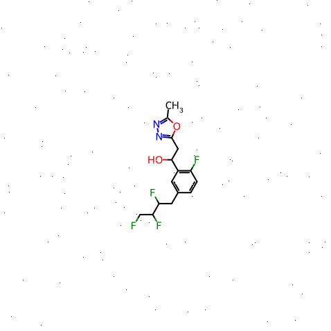 Cc1nnc(CC(O)c2cc(CC(F)C(F)CF)ccc2F)o1